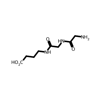 NCC(=O)NCC(=O)NCCCC(=O)O